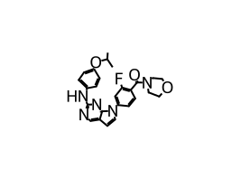 CC(C)Oc1ccc(Nc2ncc3ccn(-c4ccc(C(=O)N5CCOCC5)c(F)c4)c3n2)cc1